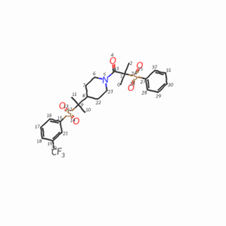 CC(C)(C(=O)N1CCC(C(C)(C)S(=O)(=O)c2cccc(C(F)(F)F)c2)CC1)S(=O)(=O)c1ccccc1